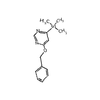 [CH3][Sn]([CH3])([CH3])[c]1cc(OCc2ccccc2)ncn1